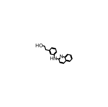 OCCc1cccc(Nc2ccc3ccccc3n2)c1